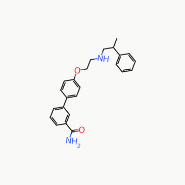 CC(CNCCOc1ccc(-c2cccc(C(N)=O)c2)cc1)c1ccccc1